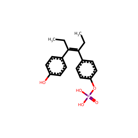 CCC(=C(CC)c1ccc(OP(=O)(O)O)cc1)c1ccc(O)cc1